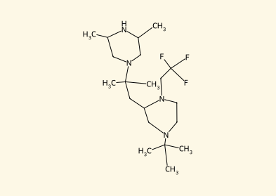 CC1CN(C(C)(C)CC2CN(C(C)(C)C)CCN2CC(F)(F)F)CC(C)N1